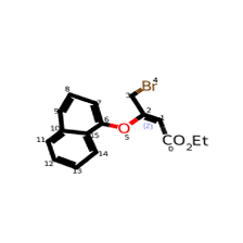 CCOC(=O)/C=C(/CBr)Oc1cccc2ccccc12